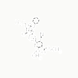 C=CCN(C(=O)C1CCN(c2nc(OCC)c(C(=O)OCC)cc2C#N)CC1)S(=O)(=O)Cc1ccccc1